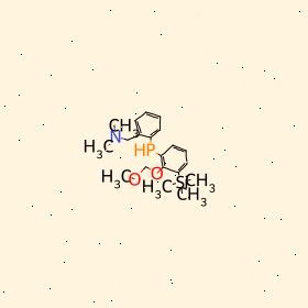 COCOc1c(Pc2ccccc2CN(C)C)cccc1[Si](C)(C)C